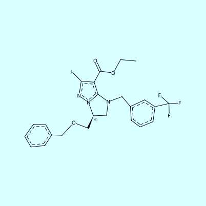 CCOC(=O)c1c(I)nn2c1N(Cc1cccc(C(F)(F)F)c1)C[C@H]2COCc1ccccc1